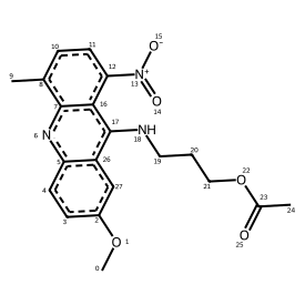 COc1ccc2nc3c(C)ccc([N+](=O)[O-])c3c(NCCCOC(C)=O)c2c1